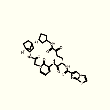 O=C(Cn1cccc(NC(=O)[C@H](CCC(=O)C(=O)NC2CCCC2)NC(=O)c2cn3ccsc3n2)c1=O)N[C@@H]1C[C@@H]2CC[C@H]1C2